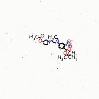 CCN(CCN1CCC(OC(C)=O)C1)c1ccc(C(=O)OC(C)(C)C)c([N+](=O)[O-])c1